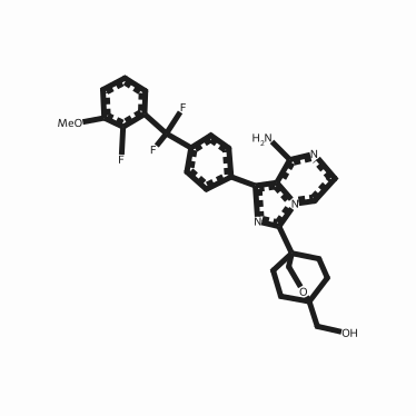 COc1cccc(C(F)(F)c2ccc(-c3nc(C45CCC(CO)(CC4)OC5)n4ccnc(N)c34)cc2)c1F